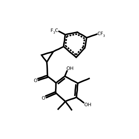 CC1=C(O)C(C)(C)C(=O)C(C(=O)C2CC2c2ccc(C(F)(F)F)cc2C(F)(F)F)=C1O